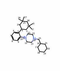 CC1(C)CC(c2ccccc2N2CCN(CC3CCCCC3)CC2)CC(C)(C)C1